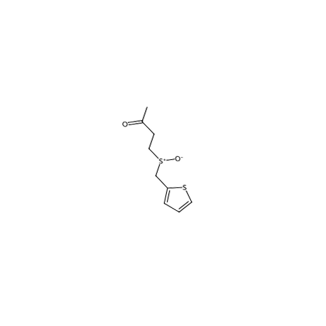 CC(=O)CC[S+]([O-])Cc1cccs1